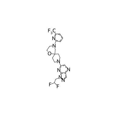 FC(F)Cn1ncc2ncc(N3CCC4(CC3)CN(c3cccc(C(F)(F)F)n3)CCO4)nc21